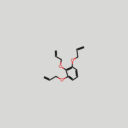 C=CCOc1cccc(OCC=C)c1OCC=C